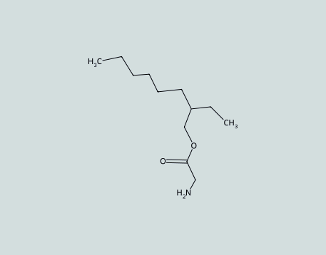 CCCCCCC(CC)COC(=O)CN